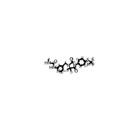 CNC(=O)Nc1cc(CN2C(=O)N(c3ccc(SC(F)(F)F)cc3)C(=O)C2(C)C)ccn1